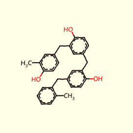 Cc1cc(Cc2cc(Cc3cc(Cc4ccccc4C)ccc3O)ccc2O)ccc1O